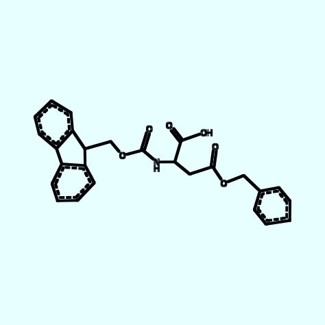 O=C(CC(NC(=O)OCC1c2ccccc2-c2ccccc21)C(=O)O)OCc1ccccc1